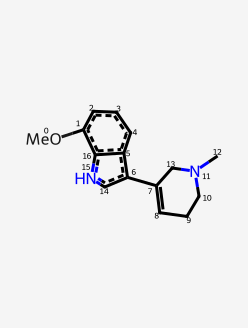 COc1cccc2c(C3=CCCN(C)C3)c[nH]c12